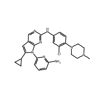 CN1CCN(c2ccc(Nc3ncc4cc(C5CC5)n(-c5cccc(N)n5)c4n3)cc2Cl)CC1